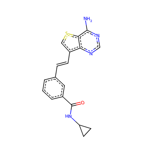 Nc1ncnc2c(/C=C/c3cccc(C(=O)NC4CC4)c3)csc12